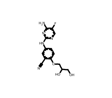 N#Cc1cc(Nc2ncc(F)c(N)n2)ccc1OCC(O)CO